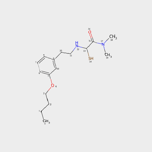 CCCCOc1cccc(CCNC(S)C(=O)N(C)C)c1